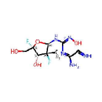 C[C@]1(F)[C@H](NC(=N/O)/N=C(/N)C=N)O[C@](F)(CO)[C@H]1O